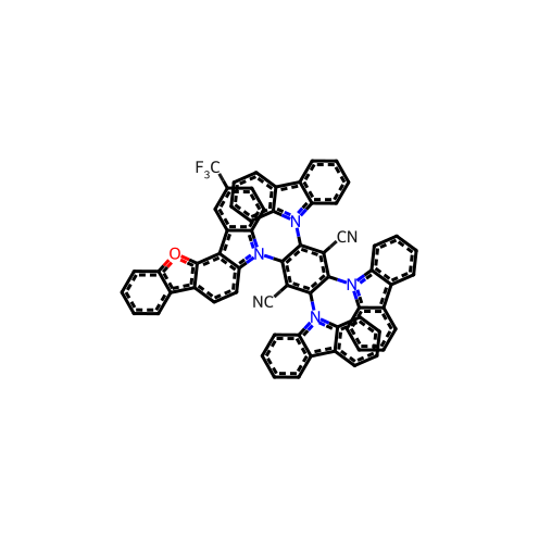 N#Cc1c(-n2c3ccccc3c3ccccc32)c(-n2c3ccccc3c3ccccc32)c(C#N)c(-n2c3ccc(C(F)(F)F)cc3c3c4oc5ccccc5c4ccc32)c1-n1c2ccccc2c2ccccc21